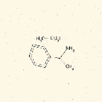 CC(=O)O.C[C@@H](N)c1ccccc1